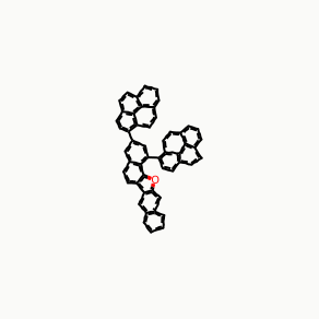 c1ccc2cc3c(cc2c1)oc1c3ccc2cc(-c3ccc4ccc5cccc6ccc3c4c56)cc(-c3ccc4ccc5cccc6ccc3c4c56)c21